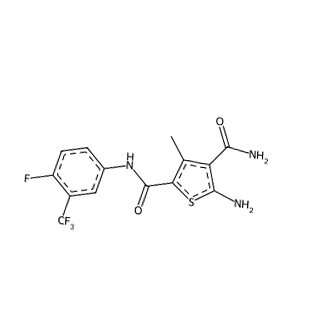 Cc1c(C(=O)Nc2ccc(F)c(C(F)(F)F)c2)sc(N)c1C(N)=O